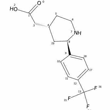 O=C(O)C[C@@H]1CCN[C@@H](c2ccc(C(F)(F)F)cc2)C1